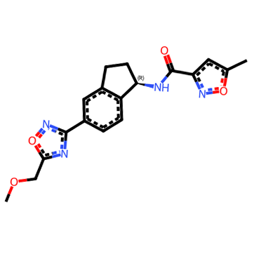 COCc1nc(-c2ccc3c(c2)CC[C@H]3NC(=O)c2cc(C)on2)no1